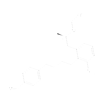 COc1ccc(COCCc2c(N)cccc2C[C@@H](C)NCC(F)(F)F)cc1